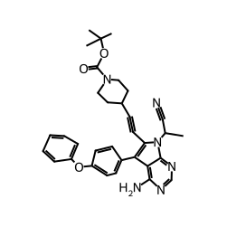 CC(C#N)n1c(C#CC2CCN(C(=O)OC(C)(C)C)CC2)c(-c2ccc(Oc3ccccc3)cc2)c2c(N)ncnc21